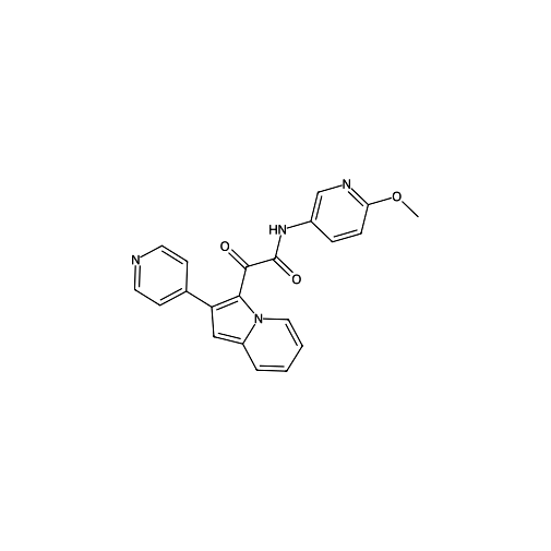 COc1ccc(NC(=O)C(=O)c2c(-c3ccncc3)cc3ccccn23)cn1